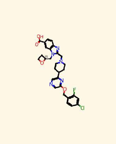 O=C(O)c1ccc2nc(CN3CCC(c4cncc(OCc5ccc(Cl)cc5F)n4)CC3)n(C[C@@H]3CCO3)c2c1